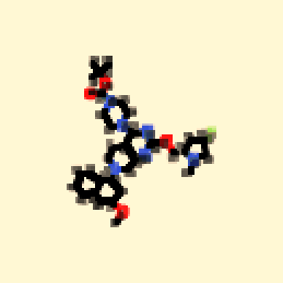 COc1cc(N2CCc3c(nc(OC[C@@H]4C[C@@H](F)CN4C)nc3N3CCN(C(=O)OC(C)(C)C)CC3)C2)c2ccccc2c1